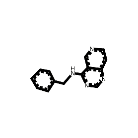 c1ccc(CNc2ncnc3ccncc23)cc1